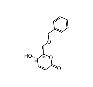 O=C1C=C[C@H](O)[C@@H](COCc2ccccc2)O1